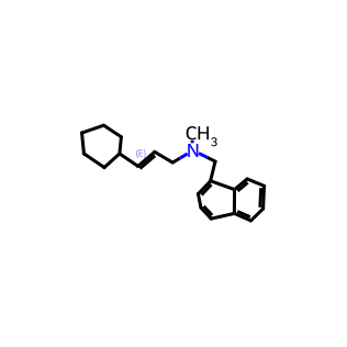 CN(C/C=C/C1CCCCC1)Cc1cccc2ccccc12